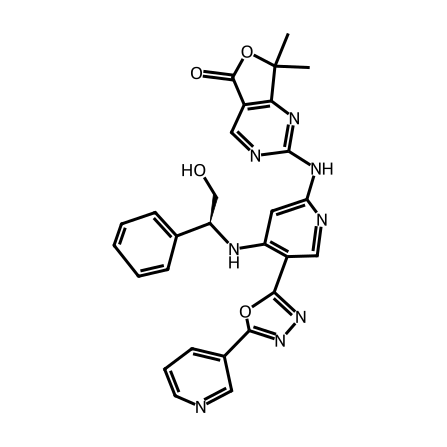 CC1(C)OC(=O)c2cnc(Nc3cc(N[C@H](CO)c4ccccc4)c(-c4nnc(-c5cccnc5)o4)cn3)nc21